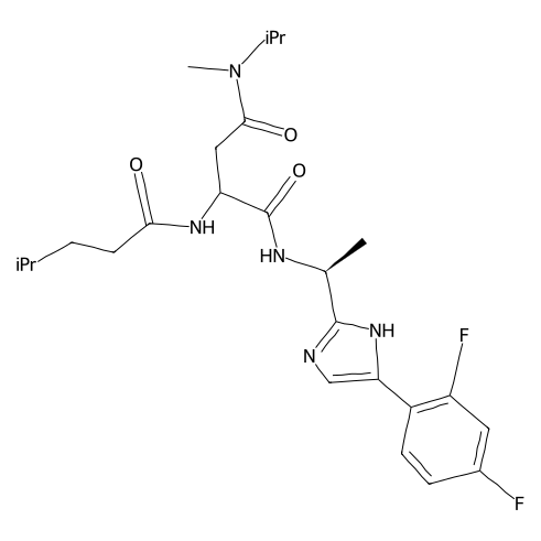 CC(C)CCC(=O)NC(CC(=O)N(C)C(C)C)C(=O)N[C@@H](C)c1ncc(-c2ccc(F)cc2F)[nH]1